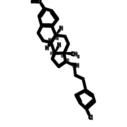 COc1ccc2c(c1)CC[C@@H]1[C@@H]2CC[C@]2(C)[C@@H](NCCc3ccc(Cl)cc3)CC[C@@H]12